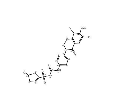 CNc1c(F)cc2c(c1F)OCN(c1ccc(NC(=O)NS(=O)(=O)C3=CCC(Cl)S3)cc1)C2=O